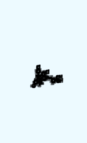 COc1ccc(C2=N[C@@H](c3ccc(Cl)cc3)[C@@H](c3ccc(Cl)cc3)N2C(=O)N2CCN(CCCc3cccc(B(O)O)c3)CC2)c(OC(C)C)c1